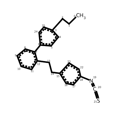 CCCc1ccc(-c2ccccc2CCc2ccc(N=C=S)cc2)cc1